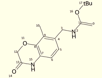 C=C(NCc1ccc2c(c1C)OCC(=O)N2)OC(C)(C)C